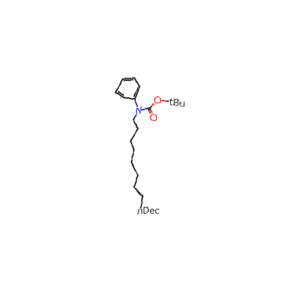 CCCCCCCCCCCCCCCCCCN(C(=O)OC(C)(C)C)c1[c]cccc1